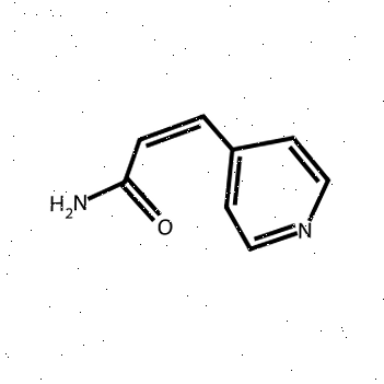 NC(=O)/C=C\c1ccncc1